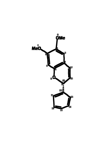 COc1cc2c(cc1OC)O[C@@H](c1ccccc1)C=C2